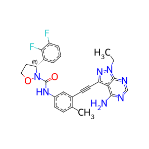 CCn1nc(C#Cc2cc(NC(=O)N3OCC[C@@H]3c3cccc(F)c3F)ccc2C)c2c(N)ncnc21